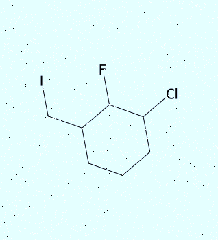 FC1C(Cl)CCCC1CI